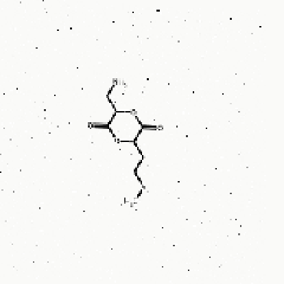 CSCCC1OC(=O)C(CN)OC1=O